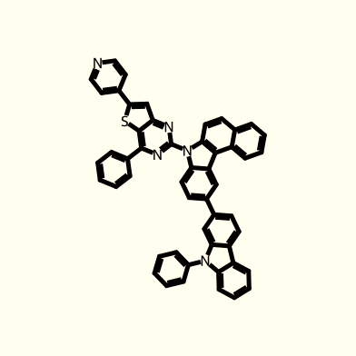 c1ccc(-c2nc(-n3c4ccc(-c5ccc6c7ccccc7n(-c7ccccc7)c6c5)cc4c4c5ccccc5ccc43)nc3cc(-c4ccncc4)sc23)cc1